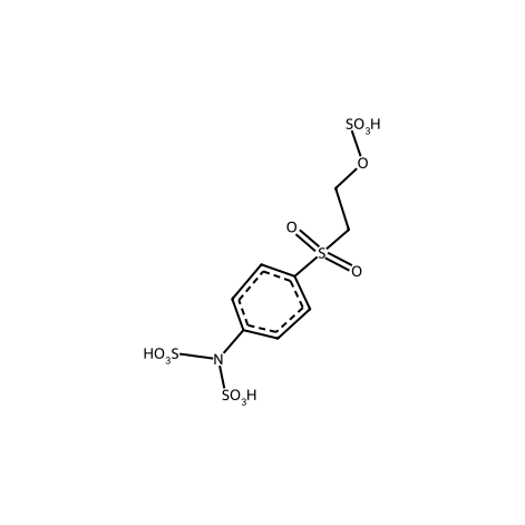 O=S(=O)(O)OCCS(=O)(=O)c1ccc(N(S(=O)(=O)O)S(=O)(=O)O)cc1